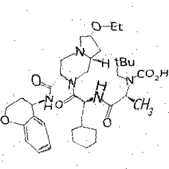 CCO[C@@H]1C[C@@H]2CN(C(=O)[C@@H](NC(=O)[C@H](C)N(CC(C)(C)C)C(=O)O)C3CCCCC3)[C@H](C(=O)N[C@@H]3CCOc4ccccc43)CN2C1